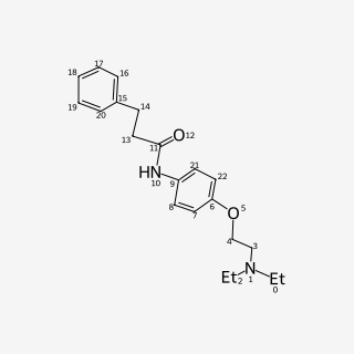 CCN(CC)CCOc1ccc(NC(=O)CCc2ccccc2)cc1